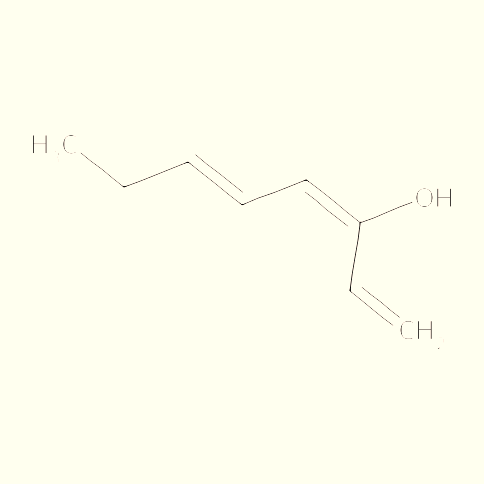 C=C/C(O)=C\C=C\CC